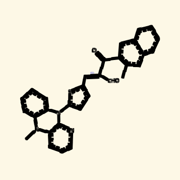 Cc1cc2ccccc2cc1C(=O)/C(C=O)=C/c1ccc(N2c3ccccc3N(C)c3cccnc32)s1